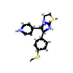 CSc1ccc(-c2nc3n(c2-c2ccncc2)CCS3)cc1